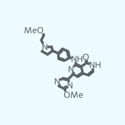 COCCN1CCC(c2ccc(Nc3nc(-c4cncc(OC)n4)cc4cc[nH]c(=O)c34)cc2)C1